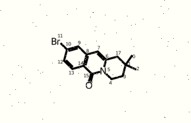 CC1(C)CCn2c(cc3cc(Br)ccc3c2=O)C1